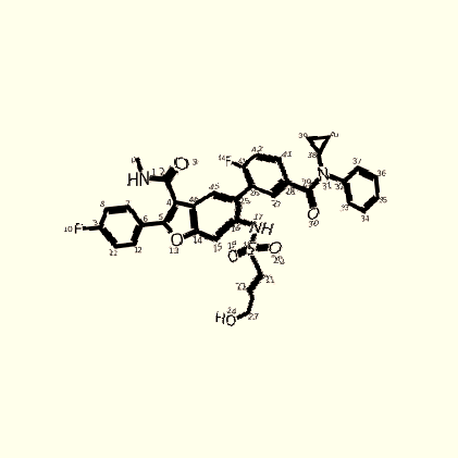 CNC(=O)c1c(-c2ccc(F)cc2)oc2cc(NS(=O)(=O)CCCO)c(-c3cc(C(=O)N(c4ccccc4)C4CC4)ccc3F)cc12